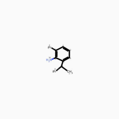 CC(C)c1cccc(C(C)C(C)C)c1N